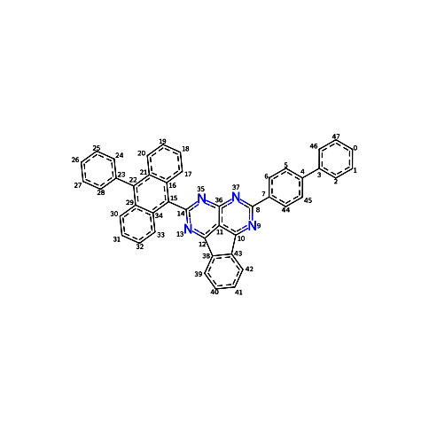 c1ccc(-c2ccc(-c3nc4c5c(nc(-c6c7ccccc7c(-c7ccccc7)c7ccccc67)nc5n3)-c3ccccc3-4)cc2)cc1